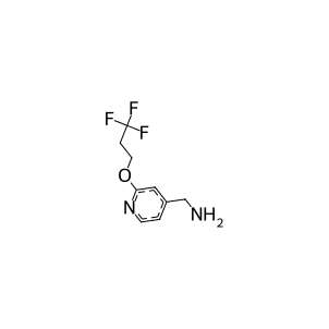 NCc1ccnc(OCCC(F)(F)F)c1